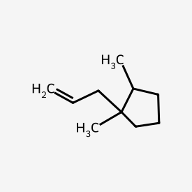 C=CCC1(C)CCCC1C